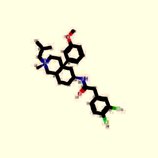 COc1cccc([C@]23CC[N@@+](C)(CC(C)C)CC2CC[C@H](NC(=O)Cc2ccc(Cl)c(Cl)c2)C3)c1